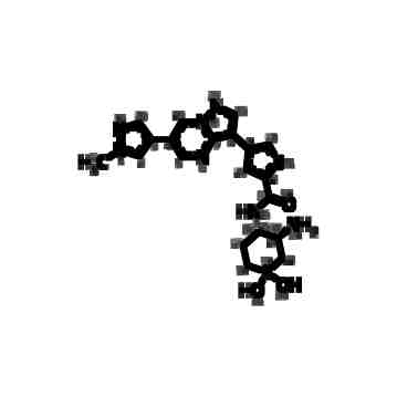 Cn1cc(-c2cnc3c(-c4csc(C(=O)N[C@H]5CCS(O)(O)C[C@@H]5N)c4)cnn3c2)cn1